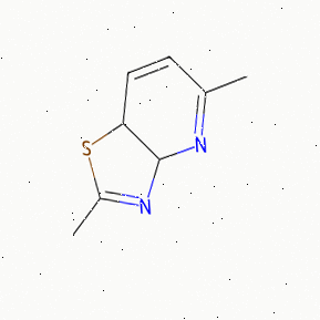 CC1=NC2N=C(C)SC2C=C1